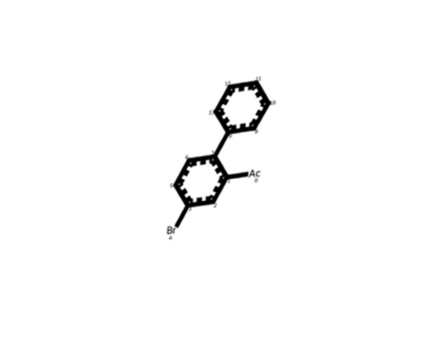 CC(=O)c1cc(Br)ccc1-c1ccccc1